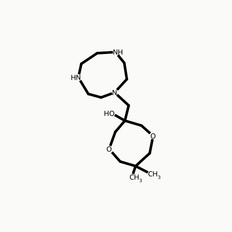 CC1(C)COCC(O)(CN2CCNCCNCC2)COC1